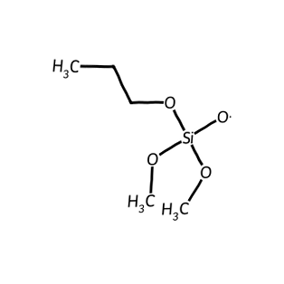 CCCO[Si]([O])(OC)OC